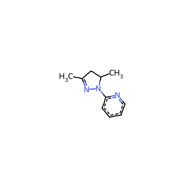 CC1=NN(c2ccccn2)C(C)C1